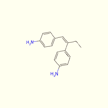 CCC(=Cc1ccc(N)cc1)c1ccc(N)cc1